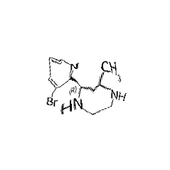 CC1NCCN[C@H]1c1ncccc1Br